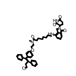 CN(CCOc1ccc(C(=C(CCCl)c2ccccc2)c2ccccc2)cc1)C(=O)CCCCCCCNc1cccc2c1CN(C1CCC(=O)NC1=O)C2=O